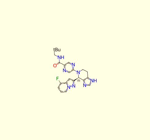 CC(C)(C)CNC(=O)c1cnc(N2CCc3[nH]cnc3[C@H]2c2cc3c(F)cccn3n2)cn1